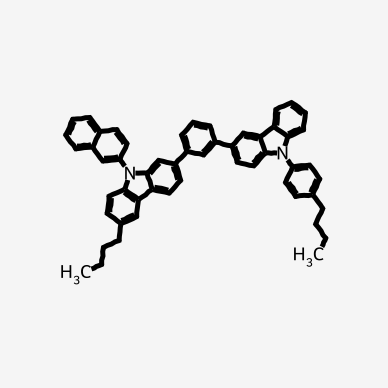 CCCCc1ccc(-n2c3ccccc3c3cc(-c4cccc(-c5ccc6c7cc(CCCC)ccc7n(-c7ccc8ccccc8c7)c6c5)c4)ccc32)cc1